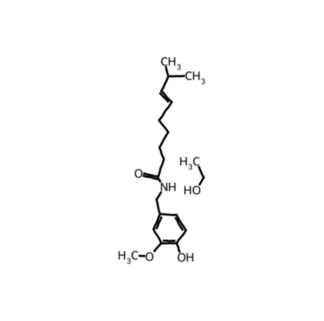 CCO.COc1cc(CNC(=O)CCCCC=CC(C)C)ccc1O